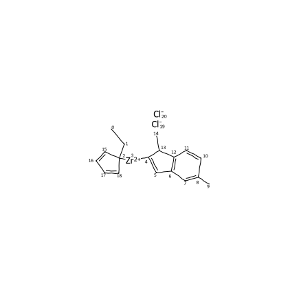 CC[C]1([Zr+2][C]2=Cc3cc(C)ccc3C2C)C=CC=C1.[Cl-].[Cl-]